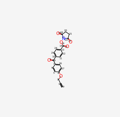 C#CCOc1ccc(C(=O)c2ccc(C(=O)ON3C(=O)CCC3=O)cc2)cc1